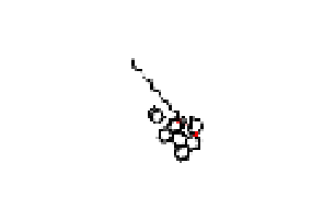 C1=CC2=CC=C1C2.CCCCCCCCCCCCN1CCCCC1.c1cc2cccc3c4cccc5cccc(c(c1)c23)c54